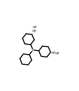 C1CCC(P(C2CCCCC2)C2CCCCC2)CC1.F.F.F.F